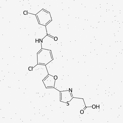 O=C(O)Cc1nc(-c2ccc(-c3ccc(NC(=O)c4cccc(Cl)c4)cc3Cl)o2)cs1